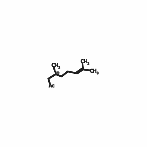 CC(=O)C[C@@H](C)CCC=C(C)C